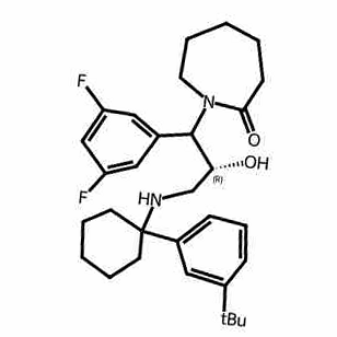 CC(C)(C)c1cccc(C2(NC[C@@H](O)C(c3cc(F)cc(F)c3)N3CCCCCC3=O)CCCCC2)c1